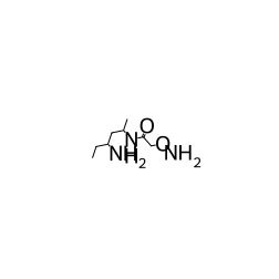 CCC(N)CC(C)NC(=O)CON